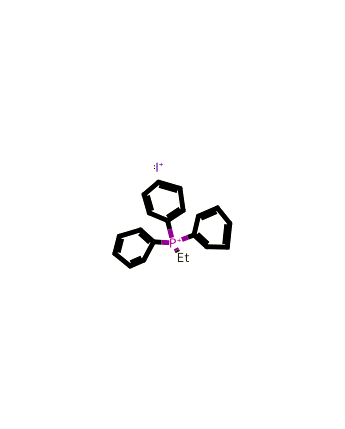 CC[P+](c1ccccc1)(c1ccccc1)c1ccccc1.[I+]